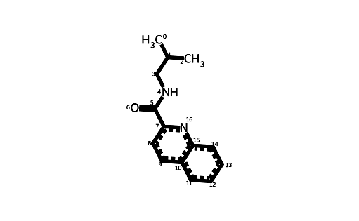 CC(C)CNC(=O)c1ccc2ccccc2n1